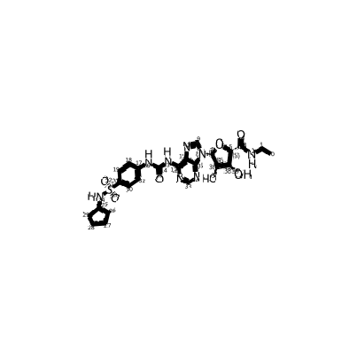 CCNC(=O)[C@H]1O[C@@H](n2cnc3c(NC(=O)Nc4ccc(S(=O)(=O)NC5CC=CC5)cc4)ncnc32)[C@H](O)[C@@H]1O